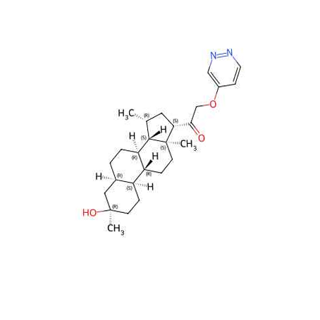 C[C@@H]1C[C@H](C(=O)COc2ccnnc2)[C@@]2(C)CC[C@H]3[C@@H](CC[C@@H]4C[C@](C)(O)CC[C@@H]43)[C@H]12